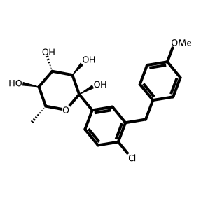 COc1ccc(Cc2cc([C@]3(O)O[C@H](C)[C@@H](O)[C@H](O)[C@H]3O)ccc2Cl)cc1